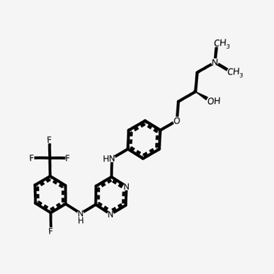 CN(C)C[C@@H](O)COc1ccc(Nc2cc(Nc3cc(C(F)(F)F)ccc3F)ncn2)cc1